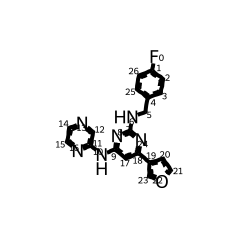 Fc1ccc(CNc2nc(Nc3cnccn3)cc(-c3ccoc3)n2)cc1